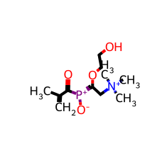 C=C(C)C(=O)/[P+]([O-])=C(/C[N+](C)(C)C)OCCO